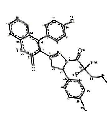 O=C(N1N=C(c2c(-c3ccc(Cl)cc3)c3ccccc3[nH]c2=O)CC1c1ccc(Cl)cc1)C(F)(F)CCO